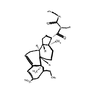 CC(=O)OCC1CC(C(=O)O)=CC2=CC[C@H]3[C@@H]4CC[C@H](C(=O)N(C(=O)NC(C)C)C(C)C)[C@@]4(C)CC[C@@H]3[C@]21C